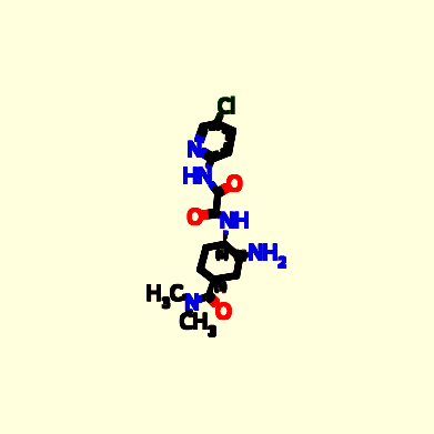 CN(C)C(=O)[C@H]1CC[C@H](NC(=O)C(=O)Nc2ccc(Cl)cn2)[C@H](N)C1